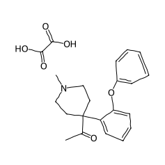 CC(=O)C1(c2ccccc2Oc2ccccc2)CCN(C)CC1.O=C(O)C(=O)O